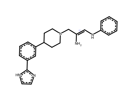 N/C(=C\Nc1ccccc1)CN1CCC(c2cccc(-c3ncc[nH]3)c2)CC1